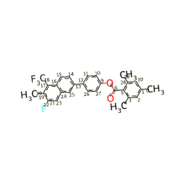 Cc1cc(C)c(C(=O)Oc2ccc(-c3ccc4c(C(F)(F)F)c(C)c(F)cc4c3)cc2)c(C)c1